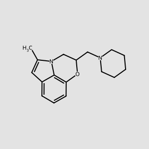 Cc1cc2cccc3c2n1CC(CN1CCCCC1)O3